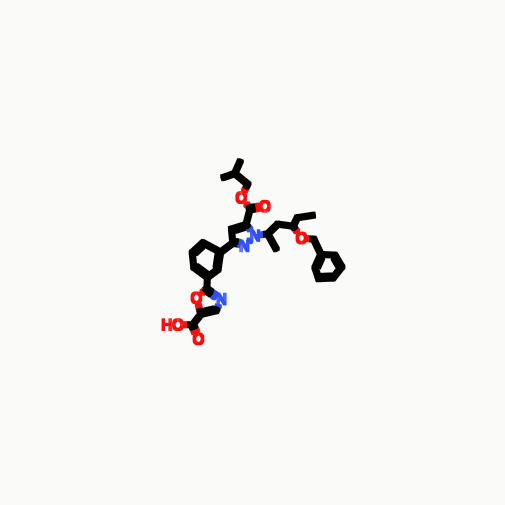 CCC(CC(C)n1nc(-c2cccc(-c3ncc(C(=O)O)o3)c2)cc1C(=O)OCC(C)C)OCc1ccccc1